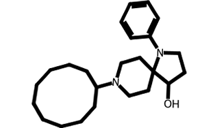 OC1CCN(c2ccccc2)C12CCN(C1CCCCCCCCC1)CC2